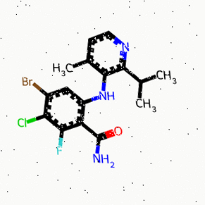 Cc1ccnc(C(C)C)c1Nc1cc(Br)c(Cl)c(F)c1C(N)=O